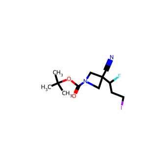 CC(C)(C)OC(=O)N1CC(C#N)(C(F)CCI)C1